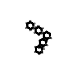 C1CCSCC1.C1CCSCC1.C1CCSCC1.C1CCSCC1.C1CCSCC1